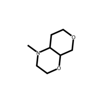 CN1CCOC2COCCC21